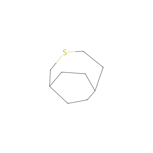 C1CC2CCC(CC2)CS1